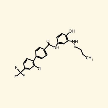 CCCSNc1cc(NC(=O)c2ccc(-c3ccc(C(F)(F)F)cc3Cl)cc2)ccc1O